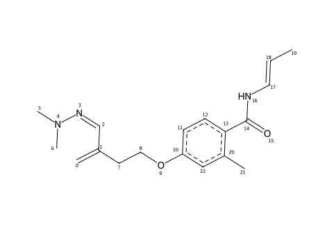 C=C(/C=N\N(C)C)CCOc1ccc(C(=O)N/C=C/C)c(C)c1